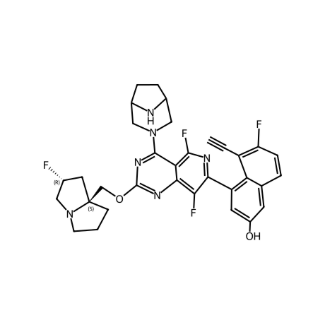 C#Cc1c(F)ccc2cc(O)cc(-c3nc(F)c4c(N5CC6CCC(C5)N6)nc(OC[C@@]56CCCN5C[C@H](F)C6)nc4c3F)c12